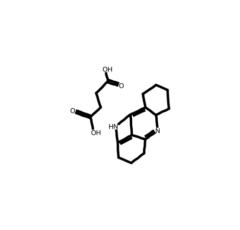 C1CC2=NC3CCCCC3=C3NC(=C23)C1.O=C(O)CCC(=O)O